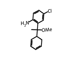 COC(C)(c1cc(Cl)ccc1N)C1C=CC=CC1